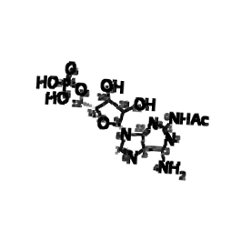 CC(=O)Nc1nc(N)c2ncn([C@@H]3O[C@H](COP(=O)(O)O)C(O)C3O)c2n1